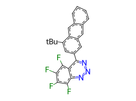 CC(C)(C)c1cc(-c2nnnc3c(F)c(F)c(F)c(F)c23)cc2cc3ccccc3cc12